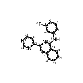 Fc1cccc(Nc2nc(-c3ccncn3)nc3ccccc23)c1